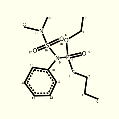 CCCSP(=O)(OCC)N(c1ccccc1)S(=O)(=O)N(C)C